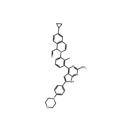 Cc1c(-c2nc(N)nc3[nH]c(-c4ccc(N5CCOCC5)cc4)cc23)cccc1N1C=Cc2cc(C3CC3)ccc2C1C=O